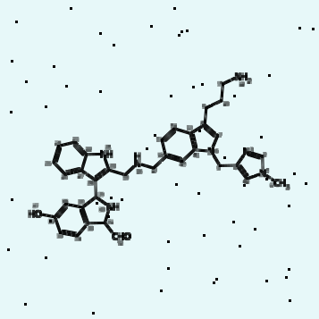 Cn1cnc(Cn2cc(CCCN)c3ccc(CNCc4[nH]c5ccccc5c4C4NC(C=O)c5ccc(O)cc54)cc32)c1